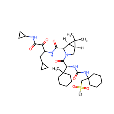 CCS(=O)(=O)CC1(NC(=O)N[C@H](C(=O)N2C[C@H]3[C@@H]([C@H]2C(=O)NC(CC2CC2)C(=O)C(=O)NC2CC2)C3(C)C)C2(C)CCCCC2)CCCCC1